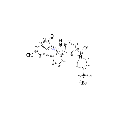 CC(C)(C)OC(=O)N1CCN(C(=O)c2ccc(N/C(=C3\C(=O)Nc4cc(Cl)ccc43)c3ccccc3)cc2)CC1